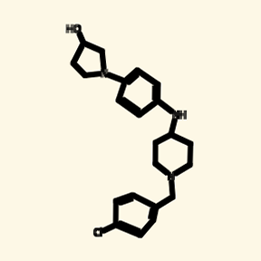 OC1CCN(c2ccc(NC3CCN(Cc4ccc(Cl)cc4)CC3)cc2)C1